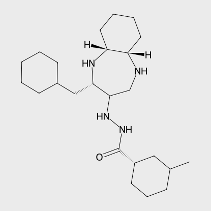 CC1CCC[C@H](C(=O)NNC2CN[C@H]3CCCC[C@H]3N[C@H]2CC2CCCCC2)C1